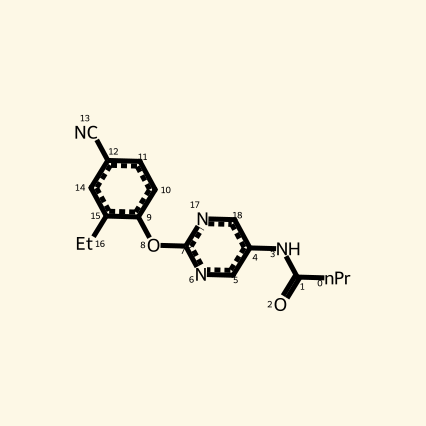 CCCC(=O)Nc1cnc(Oc2ccc(C#N)cc2CC)nc1